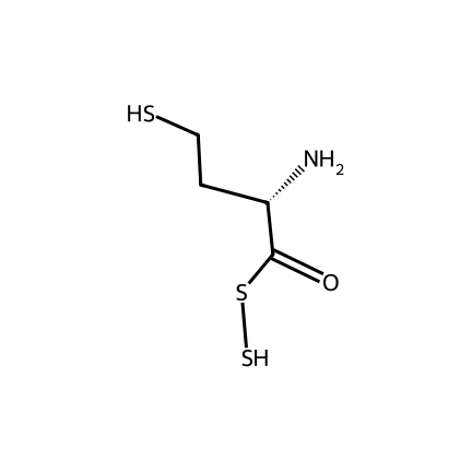 N[C@@H](CCS)C(=O)SS